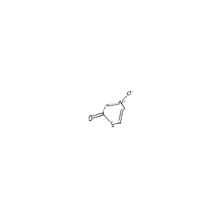 O=c1c[n+]([O-])ccs1